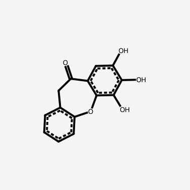 O=C1Cc2ccccc2Oc2c1cc(O)c(O)c2O